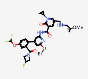 CCOc1cc(-c2ccc(OC(F)F)cc2C(=O)N2CC(F)C2)cc(NC(=O)c2cc(CNC[C@H](C)OC)cn(C3CC3)c2=O)n1